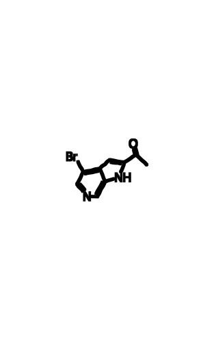 CC(=O)c1cc2c(Br)cncc2[nH]1